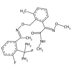 CNC(=O)/C(=N/OC)c1cccc(C)c1CO/N=C(\C)c1cccc(F)c1C(F)(P)P